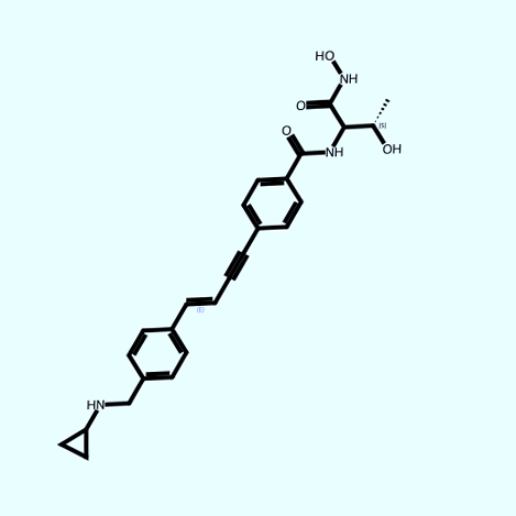 C[C@H](O)C(NC(=O)c1ccc(C#C/C=C/c2ccc(CNC3CC3)cc2)cc1)C(=O)NO